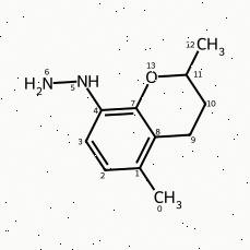 Cc1ccc(NN)c2c1CCC(C)O2